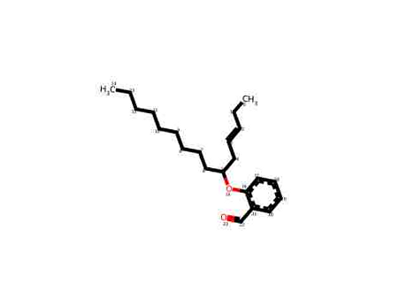 CCC=CCC(CCCCCCCCC)Oc1ccccc1C=O